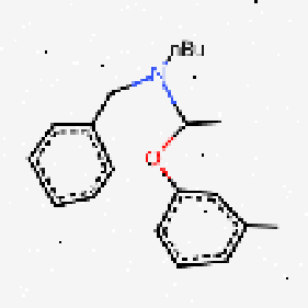 CCCCN(Cc1ccccc1)C(C)Oc1cccc(C)c1